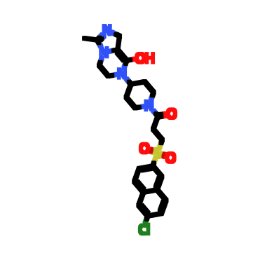 CC1=NCC2=C(O)N(C3CCN(C(=O)CCS(=O)(=O)c4ccc5cc(Cl)ccc5c4)CC3)CCN12